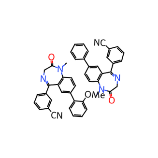 CN1C(=O)CN=C(c2cccc(C#N)c2)c2cc(-c3ccccc3)ccc21.COc1ccccc1-c1ccc2c(c1)C(c1cccc(C#N)c1)=NCC(=O)N2C